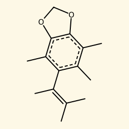 CC(C)=C(C)c1c(C)c(C)c2c(c1C)OCO2